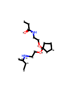 CCC(=O)NCCOC1(OCCNC(C)CC)CCCC1